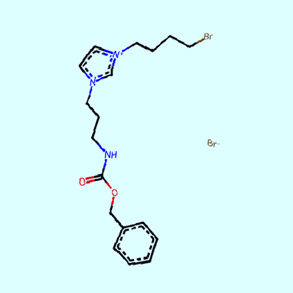 O=C(NCCCn1cc[n+](CCCCBr)c1)OCc1ccccc1.[Br-]